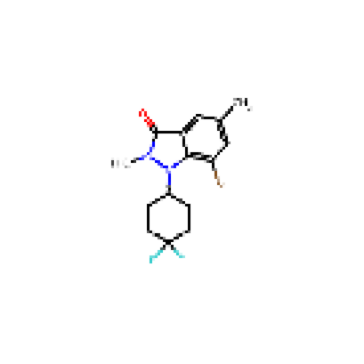 Cc1cc(Br)c2c(c1)c(=O)n(C)n2C1CCC(F)(F)CC1